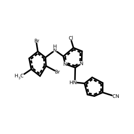 Cc1cc(Br)c(Nc2nc(Nc3ccc(C#N)cc3)ncc2Cl)c(Br)c1